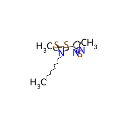 CCCCCCCCCCn1c2cc(C)sc2c2sc(-c3ccc(C)c4nsnc34)cc21